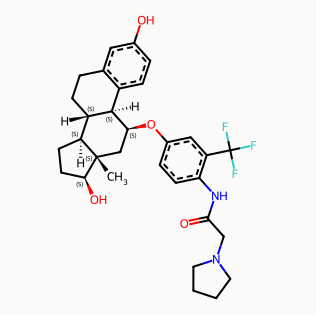 C[C@]12C[C@H](Oc3ccc(NC(=O)CN4CCCC4)c(C(F)(F)F)c3)[C@@H]3c4ccc(O)cc4CC[C@H]3[C@@H]1CC[C@@H]2O